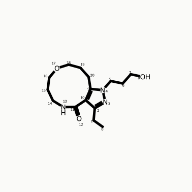 CCc1nn(CCCO)c2c1C(=O)NCCCOCCC2